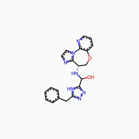 OC(N[C@H]1COc2cccnc2-n2ccnc21)c1nnc(Cc2ccccc2)[nH]1